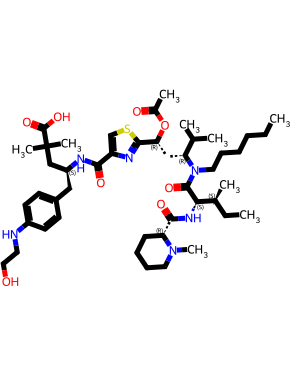 CCCCCCN(C(=O)[C@@H](NC(=O)[C@H]1CCCCN1C)[C@@H](C)CC)[C@H](C[C@@H](OC(C)=O)c1nc(C(=O)N[C@@H](Cc2ccc(NCCO)cc2)CC(C)(C)C(=O)O)cs1)C(C)C